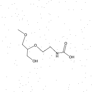 COCC(CO)OCCNC(=O)O